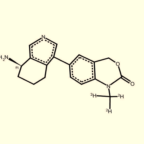 [2H]C([2H])([2H])N1C(=O)OCc2cc(-c3cncc4c3CCC[C@H]4N)ccc21